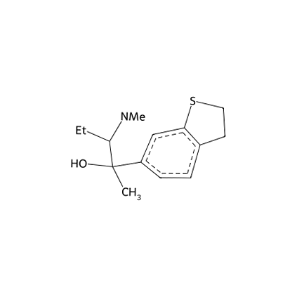 CCC(NC)C(C)(O)c1ccc2c(c1)SCC2